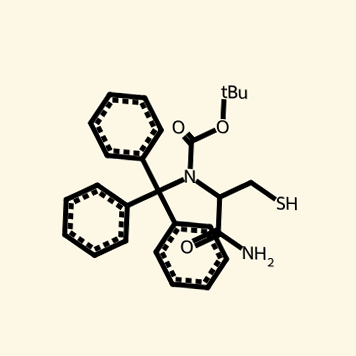 CC(C)(C)OC(=O)N(C(CS)C(N)=O)C(c1ccccc1)(c1ccccc1)c1ccccc1